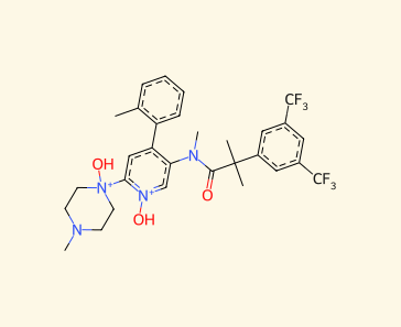 Cc1ccccc1-c1cc([N+]2(O)CCN(C)CC2)[n+](O)cc1N(C)C(=O)C(C)(C)c1cc(C(F)(F)F)cc(C(F)(F)F)c1